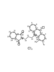 Cc1ccc2c(Cl)c3ccccc3[n+](CCCN3C(=O)c4ccccc4C3=O)c2c1C.[Cl-]